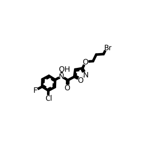 O=C(c1cc(OCCCBr)no1)N(O)c1ccc(F)c(Cl)c1